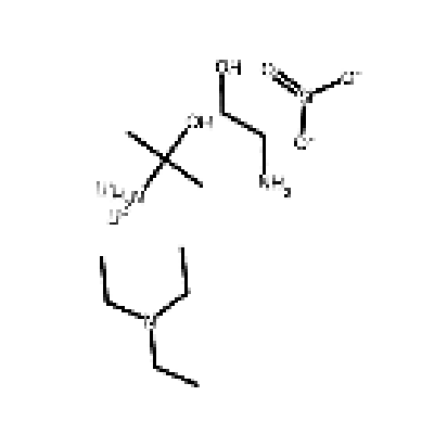 CC(C)(N)O.CCN(CC)CC.NCCO.O=[Si]([O-])[O-].[Li+].[Li+]